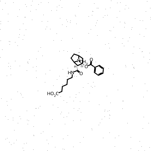 CN1C2CCC1[C@@H](C(=O)NCCCCCC(=O)O)[C@@H](OC(=O)c1ccccc1)C2